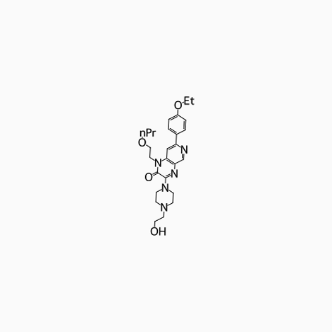 CCCOCCn1c(=O)c(N2CCN(CCO)CC2)nc2cnc(-c3ccc(OCC)cc3)cc21